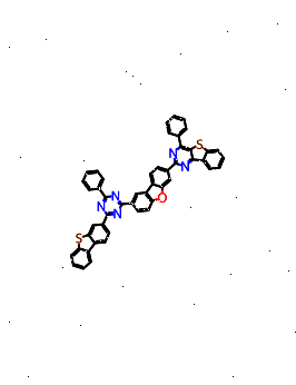 c1ccc(-c2nc(-c3ccc4c(c3)sc3ccccc34)nc(-c3ccc4oc5cc(-c6nc(-c7ccccc7)c7sc8ccccc8c7n6)ccc5c4c3)n2)cc1